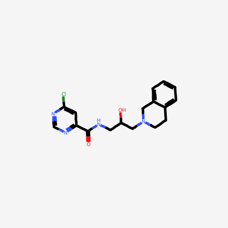 O=C(NCC(O)CN1CCc2ccccc2C1)c1cc(Cl)ncn1